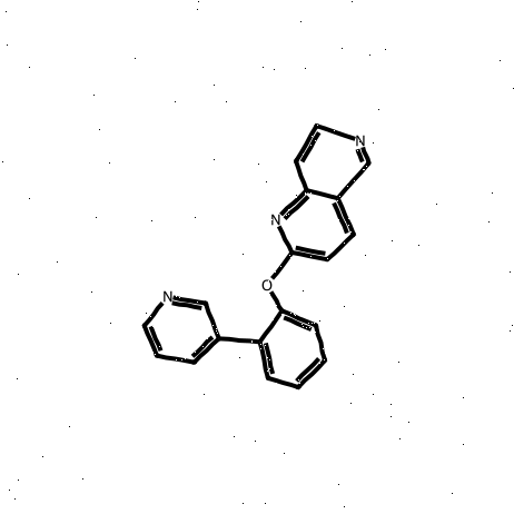 c1cncc(-c2ccccc2Oc2ccc3cnccc3n2)c1